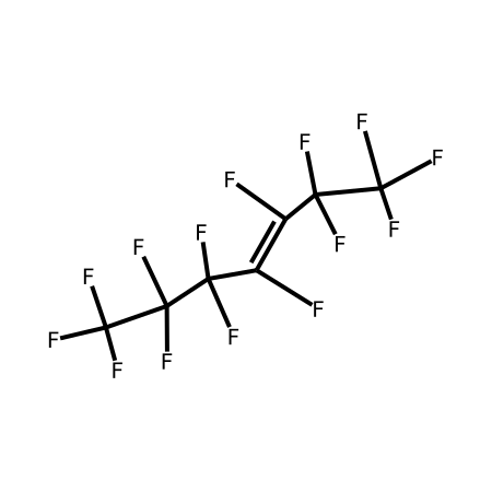 F/C(=C(/F)C(F)(F)C(F)(F)C(F)(F)F)C(F)(F)C(F)(F)F